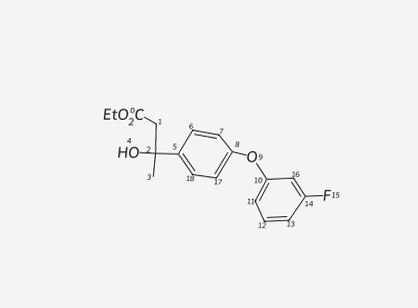 CCOC(=O)CC(C)(O)c1ccc(Oc2cccc(F)c2)cc1